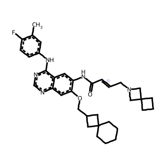 Cc1cc(Nc2ncnc3cc(OCC4CC5(CCCCC5)C4)c(NC(=O)/C=C/CN4CC5(CCC5)C4)cc23)ccc1F